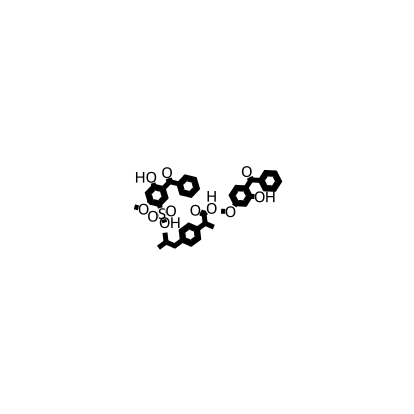 CC(C)Cc1ccc(C(C)C(=O)O)cc1.COc1cc(O)c(C(=O)c2ccccc2)cc1S(=O)(=O)O.COc1ccc(C(=O)c2ccccc2)c(O)c1